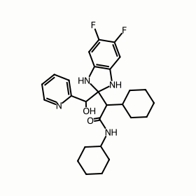 O=C(NC1CCCCC1)C(C1CCCCC1)C1(C(O)c2ccccn2)Nc2cc(F)c(F)cc2N1